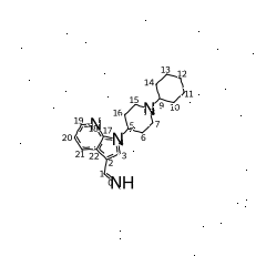 N=Cc1cn(C2CCN(C3CCCCC3)CC2)c2ncccc12